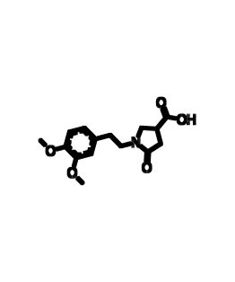 COc1ccc(CCN2CC(C(=O)O)CC2=O)cc1OC